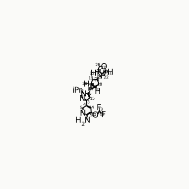 CC(C)n1nc(-c2cnc(N)c(OC(F)F)c2)cc1[C@H]1[C@@H]2C[C@H](N3C[C@@H]4C[C@H]3CO4)C[C@@H]21